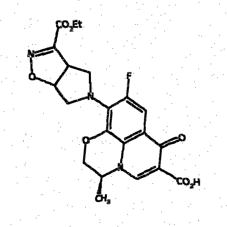 CCOC(=O)C1=NOC2CN(c3c(F)cc4c(=O)c(C(=O)O)cn5c4c3OC[C@@H]5C)CC12